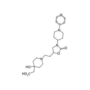 O=C(O)CC1(O)CCN(CCC2CN(C3CCN(c4ccncc4)CC3)C(=O)O2)CC1